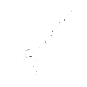 CCCCCCCCCCCCN1C=CN(CCC)C1CCCC